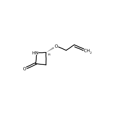 C=CCO[C@@H]1CC(=O)N1